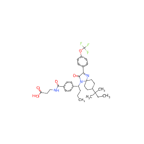 CCCC(c1ccc(C(=O)NCCC(=O)O)cc1)N1C(=O)C(c2ccc(OC(F)(F)F)cc2)=NC12CCC(C(C)(C)CC)CC2